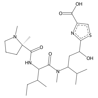 CCC(C)C(NC(=O)[C@@]1(C)CCCN1C)C(=O)N(C)C(CC(O)c1nc(C(=O)O)cs1)C(C)C